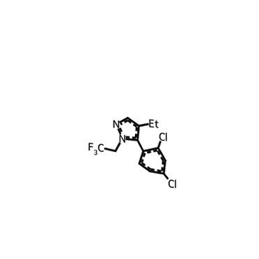 CCc1cnn(CC(F)(F)F)c1-c1ccc(Cl)cc1Cl